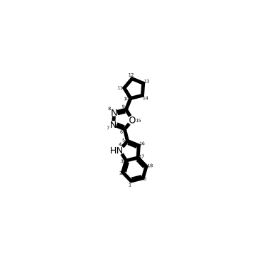 c1ccc2[nH]c(-c3nnc(C4CCCC4)o3)cc2c1